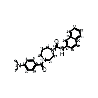 CN(C)c1ccc(C(=O)N2CCCN(C(=O)Nc3ccc4ccccc4c3)CC2)cc1